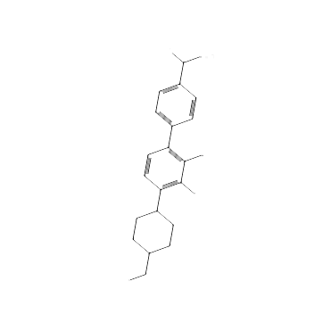 CCCC(O)c1ccc(-c2ccc(C3CCC(CO)CC3)c(F)c2F)cc1